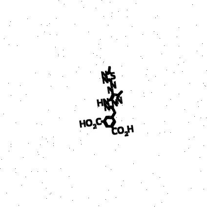 Cc1nnc(N=Nc2c(C)nn3c(Cc4cc(C(=O)O)cc(C(=O)O)c4)n[nH]c23)s1